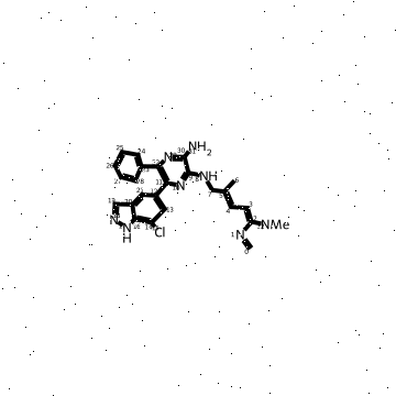 C=N/C(=C\C=C(/C)CNc1nc(-c2cc(Cl)c3[nH]ncc3c2)c(-c2ccccc2)nc1N)NC